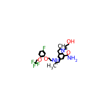 CC1Cc2cc(C[C@@H](C)NCCOc3cc(F)ccc3OCC(F)(F)F)cc(C(N)=O)c2N1CCCO